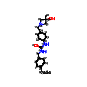 COc1ccc(CNC(=O)Nc2ccc(CN3CC(C)(O)C3)cc2)cc1